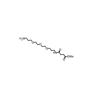 COC(=O)CCC(=O)NCCCOCCOCCOCCCN